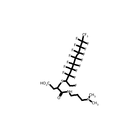 CN(C)CCCNC(=O)C(CC(=O)O)SC(CF)C(F)(F)C(F)(F)C(F)(F)C(F)(F)C(F)(F)C(F)(F)C(F)(F)C(F)(F)F